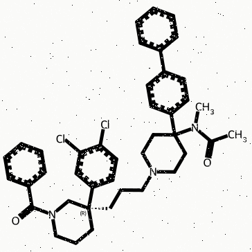 CC(=O)N(C)C1(c2ccc(-c3ccccc3)cc2)CCN(CCC[C@]2(c3ccc(Cl)c(Cl)c3)CCCN(C(=O)c3ccccc3)C2)CC1